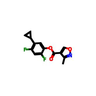 Cc1nocc1C(=O)Oc1cc(C2CC2)c(F)cc1F